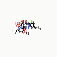 CCC1=NO[C@@]2(CC[C@H](C)N3C[C@H]2n2cc(C(=O)NCc4ccc(C)cc4F)c(=O)c(O)c2C3=O)O1